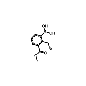 COC(=O)c1cccc(B(O)O)c1CBr